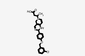 CC(CC(=O)O)N1C=CC2=C(C=NC(c3ccc(OCc4cccc(Cl)c4)cc3)N2)C1